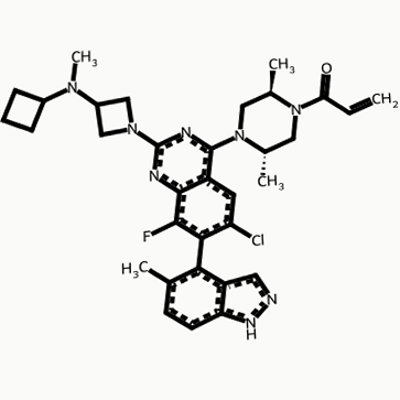 C=CC(=O)N1C[C@H](C)N(c2nc(N3CC(N(C)C4CCC4)C3)nc3c(F)c(-c4c(C)ccc5[nH]ncc45)c(Cl)cc23)C[C@H]1C